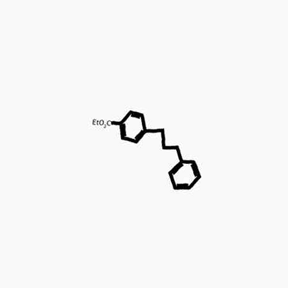 CCOC(=O)c1ccc(CCCc2ccccc2)cc1